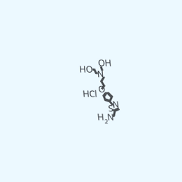 Cl.NCc1cnc(-c2ccc(OCCCN(CCO)CCO)cc2)s1